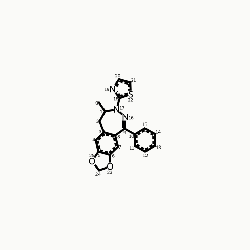 CC1Cc2cc3c(cc2C(c2ccccc2)=NN1c1nccs1)OCO3